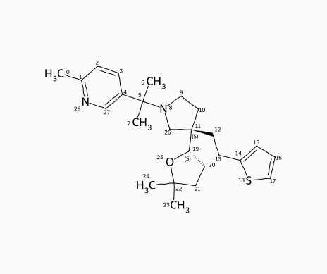 Cc1ccc(C(C)(C)N2CC[C@](CCc3cccs3)([C@@H]3CCC(C)(C)O3)C2)cn1